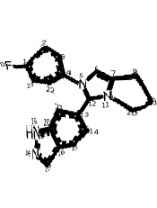 Fc1ccc(N2C=C3CCCN3C2c2ccc3cn[nH]c3c2)cc1